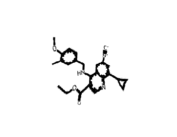 [C-]#[N+]c1cc(C2CC2)c2ncc(C(=O)OCC)c(NCc3ccc(OC)c(C)c3)c2c1